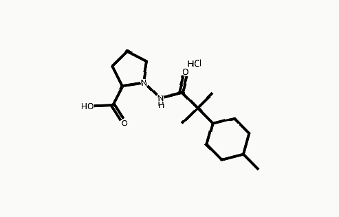 CC1CCC(C(C)(C)C(=O)NN2CCCC2C(=O)O)CC1.Cl